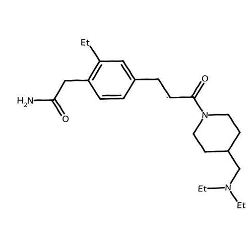 CCc1cc(C[CH]C(=O)N2CCC(CN(CC)CC)CC2)ccc1CC(N)=O